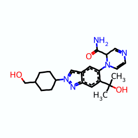 CC(C)(O)c1cc2nn(C3CCC(CO)CC3)cc2cc1N1C=CN=CC1C(N)=O